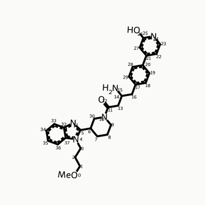 COCCCn1c(C2CCCN(C(=O)CC(N)Cc3ccc(-c4ccnc(O)c4)cc3)C2)nc2ccccc21